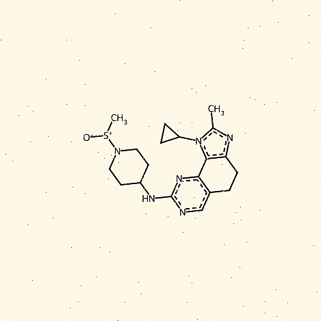 Cc1nc2c(n1C1CC1)-c1nc(NC3CCN([S+](C)[O-])CC3)ncc1CC2